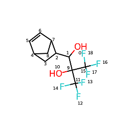 OC(C1CC2C=CC1C2)C(O)(C(F)(F)F)C(F)(F)F